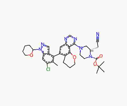 Cc1c(Cl)cc2c(cnn2C2CCCCO2)c1-c1cc2ncnc(N3CCN(C(=O)OC(C)(C)C)[C@@H](CC#N)C3)c2c2c1CCCO2